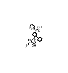 CSCC[C@H](NC(=O)c1ccc(N(C(=O)O)N2C=CC=NC2)cc1-c1ccccc1)C(=O)O